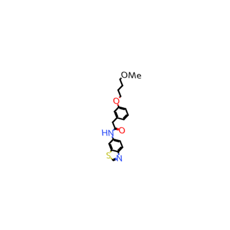 COCCCCOc1cccc(CC(=O)Nc2ccc3ncsc3c2)c1